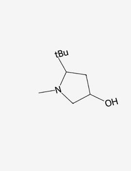 CN1CC(O)CC1C(C)(C)C